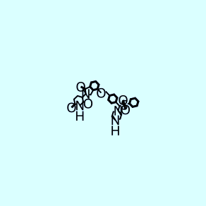 O=C1CCC(N2Cc3c(OCc4ccc(C(N5CCNCC5)S(=O)(=O)c5ccccc5)cc4)cccc3C2=O)C(=O)N1